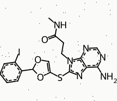 CNC(=O)CCn1c(SC2=COC(c3ccccc3I)O2)nc2c(N)ncnc21